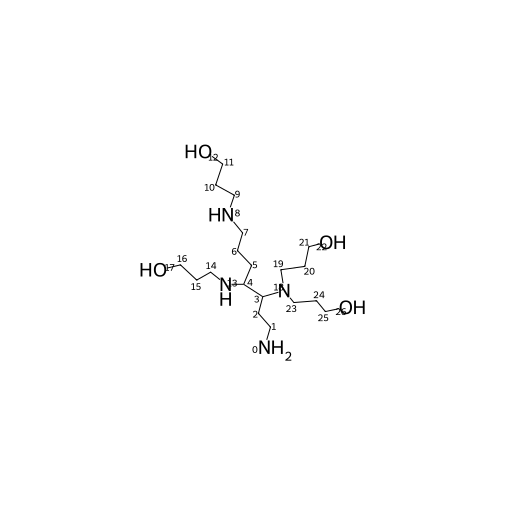 NCCC(C(CCCNCCCO)NCCCO)N(CCCO)CCCO